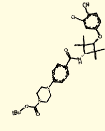 CC(C)(C)OC(=O)N1CCN(c2ccc(C(=O)N[C@H]3C(C)(C)[C@H](Oc4ccc(C#N)c(Cl)c4)C3(C)C)cc2)CC1